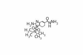 CC(C)N(C(C)C)S(=O)(=O)n1c(N)nc2c1CCC(C(=O)NN)=C2